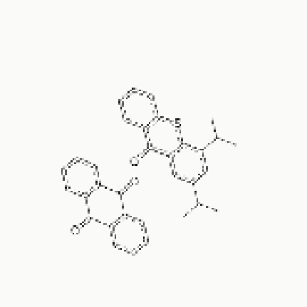 CC(C)c1cc(C(C)C)c2sc3ccccc3c(=O)c2c1.O=C1c2ccccc2C(=O)c2ccccc21